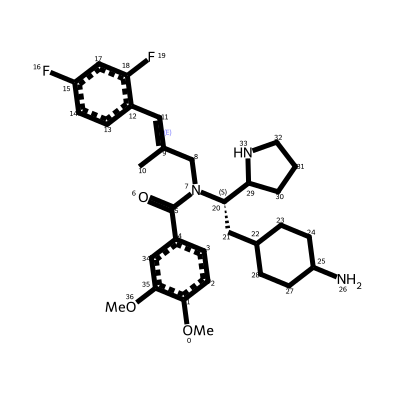 COc1ccc(C(=O)N(C/C(C)=C/c2ccc(F)cc2F)[C@@H](CC2CCC(N)CC2)C2CCCN2)cc1OC